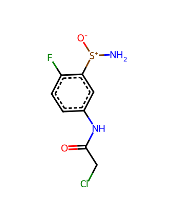 N[S+]([O-])c1cc(NC(=O)CCl)ccc1F